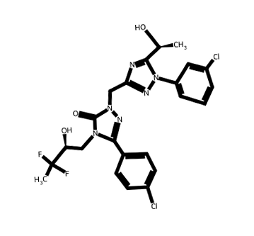 C[C@H](O)c1nc(Cn2nc(-c3ccc(Cl)cc3)n(C[C@H](O)C(C)(F)F)c2=O)nn1-c1cccc(Cl)c1